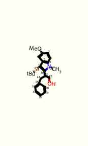 COc1ccc2c(c1)c(SC(C)(C)C)c(C(CO)Cc1ccccc1)n2C